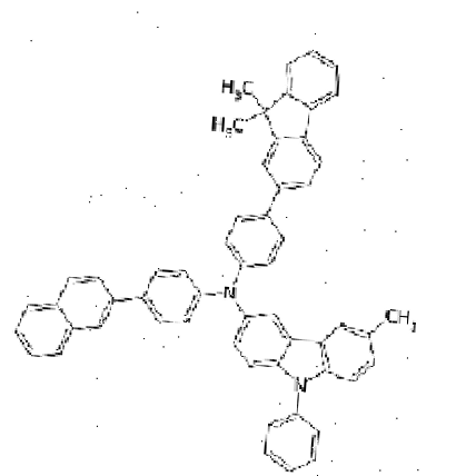 Cc1ccc2c(c1)c1cc(N(c3ccc(-c4ccc5c(c4)C(C)(C)c4ccccc4-5)cc3)c3ccc(-c4ccc5ccccc5c4)cc3)ccc1n2-c1ccccc1